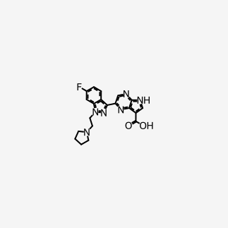 O=C(O)c1c[nH]c2ncc(-c3nn(CCN4CCCC4)c4cc(F)ccc34)nc12